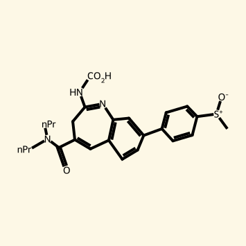 CCCN(CCC)C(=O)C1=Cc2ccc(-c3ccc([S+](C)[O-])cc3)cc2N=C(NC(=O)O)C1